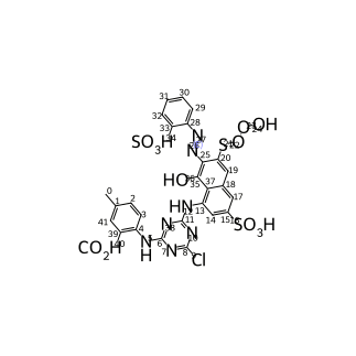 Cc1ccc(Nc2nc(Cl)nc(Nc3cc(S(=O)(=O)O)cc4cc(SOOO)c(/N=N/c5ccccc5S(=O)(=O)O)c(O)c34)n2)c(C(=O)O)c1